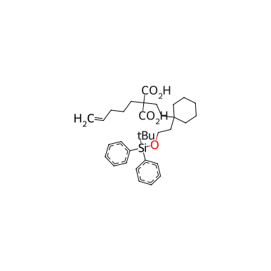 C=CCCCC(CCC1(CCO[Si](c2ccccc2)(c2ccccc2)C(C)(C)C)CCCCC1)(C(=O)O)C(=O)O